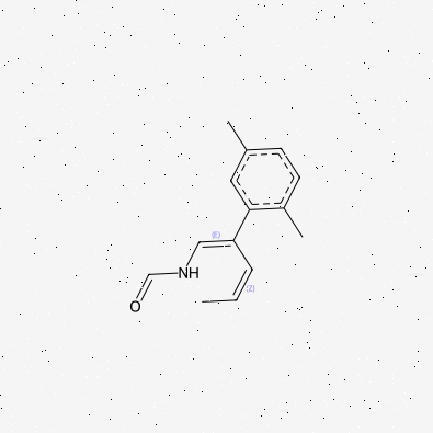 C/C=C\C(=C/NC=O)c1cc(C)ccc1C